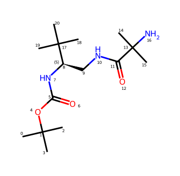 CC(C)(C)OC(=O)N[C@H](CNC(=O)C(C)(C)N)C(C)(C)C